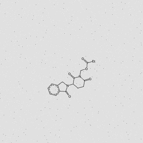 CCC(=O)OCN1C(=O)CCC(N2Cc3ccccc3C2=O)C1=O